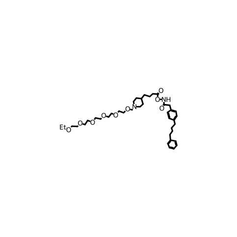 CCOCCOCCOCCOCCOCCOCN1CCC(CCCC(=O)ONC(=O)Cc2ccc(CCCCc3ccccc3)cc2)CC1